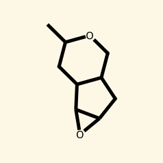 CC1CC2C(CO1)CC1OC12